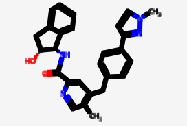 Cc1cnc(C(=O)N[C@H]2c3ccccc3C[C@H]2O)cc1Cc1ccc(-c2ccn(C)n2)cc1